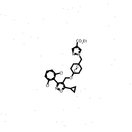 CCOC(=O)c1cnn(CC23CCC(OCc4c(-c5c(Cl)cccc5Cl)noc4C4CC4)(CC2)CC3)c1